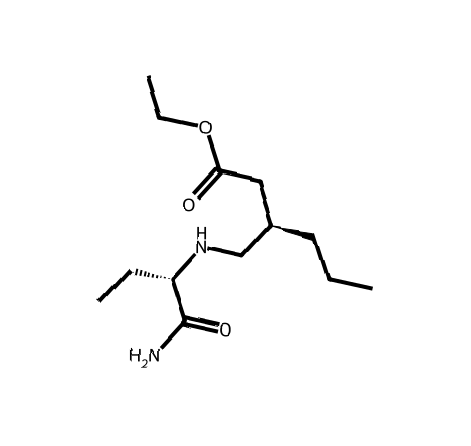 CCC[C@@H](CN[C@@H](CC)C(N)=O)CC(=O)OCC